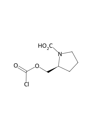 O=C(Cl)OC[C@@H]1CCCN1C(=O)O